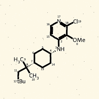 COc1c(N[C@H]2CC[C@@H](C(C)(C)CC(C)(C)C)CC2)ccnc1Cl